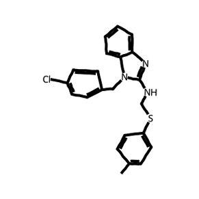 Cc1ccc(SCNc2nc3ccccc3n2Cc2ccc(Cl)cc2)cc1